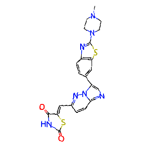 CN1CCN(c2nc3ccc(-c4cnc5ccc(/C=C6\SC(=O)NC6=O)nn45)cc3s2)CC1